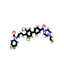 C[C@@H](CCN(C=O)C1CCC(F)(F)CC1)Cc1c(Cl)cc(-c2ccc(C(=O)N3CCN(CCF)CC3)cc2)cc1Cl